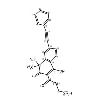 CC1(C)C(=O)C(C(=O)NCC(=O)O)=C(O)c2ccc(C#Cc3cccnc3)cc21